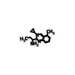 CCC(N)[C@@H]1N=c2cccc(C)c2=CN1C1CC1